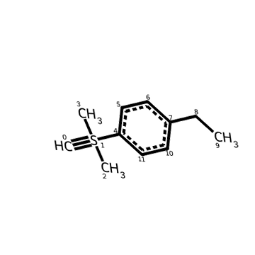 C#S(C)(C)c1ccc(CC)cc1